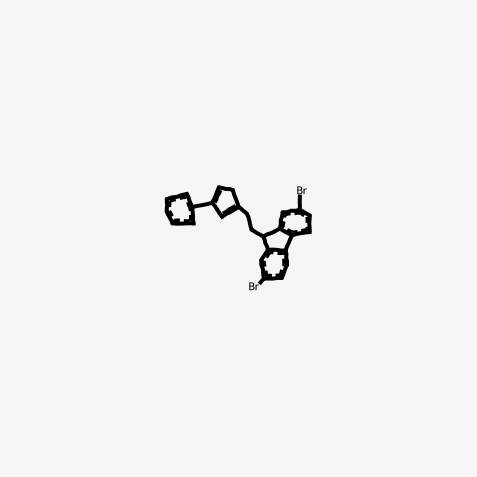 Brc1ccc2c(c1)C(CCC1=CC(c3ccccc3)=CC1)c1cc(Br)ccc1-2